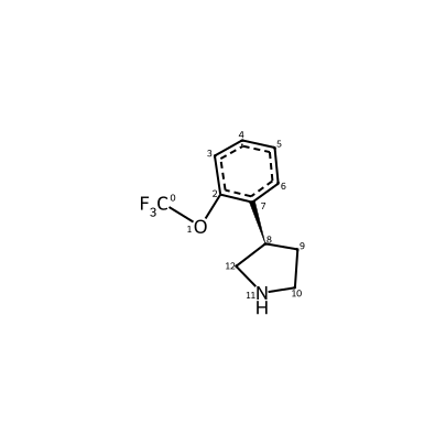 FC(F)(F)Oc1c[c]ccc1[C@H]1CCNC1